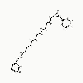 c1ccc(SCOCCCCCCCCCCOCC2SC2c2ccccc2)cc1